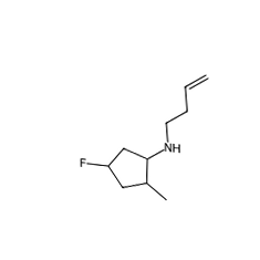 C=CCCNC1CC(F)CC1C